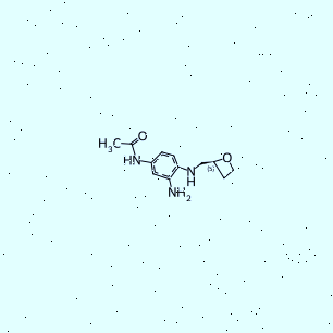 CC(=O)Nc1ccc(NC[C@@H]2CCO2)c(N)c1